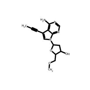 CC#Cc1cn(C2CC(O)C(COC)O2)c2ncnc(N)c12